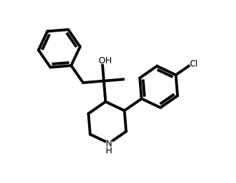 CC(O)(Cc1ccccc1)C1CCNCC1c1ccc(Cl)cc1